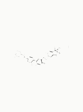 Cc1nc(OCC2CCOCC2)ccc1-c1ccc(F)c(COC2C=C3C[C@H]4[C@H](C(=O)O)[C@H]4C3=CC2)c1